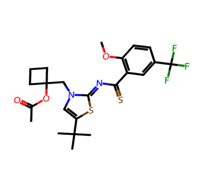 COc1ccc(C(F)(F)F)cc1C(=S)N=c1sc(C(C)(C)C)cn1CC1(OC(C)=O)CCC1